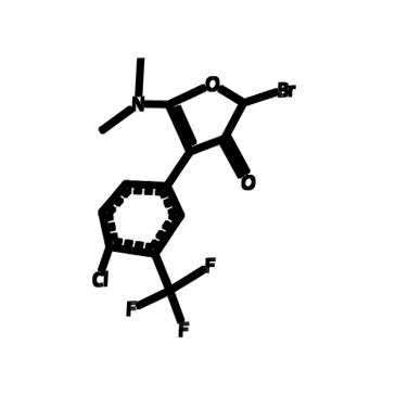 CN(C)C1=C(c2ccc(Cl)c(C(F)(F)F)c2)C(=O)C(Br)O1